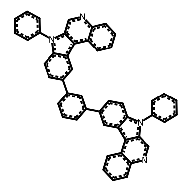 c1ccc(-n2c3ccc(-c4cccc(-c5ccc6c(c5)c5c7ccccc7ncc5n6-c5ccccc5)c4)cc3c3c4ccccc4ncc32)cc1